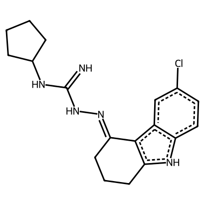 N=C(NN=C1CCCc2[nH]c3ccc(Cl)cc3c21)NC1CCCC1